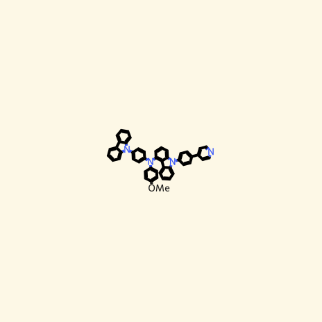 COc1ccc(N(c2ccc(-n3c4ccccc4c4ccccc43)cc2)c2cccc3c2c2ccccc2n3-c2ccc(-c3ccncc3)cc2)cc1